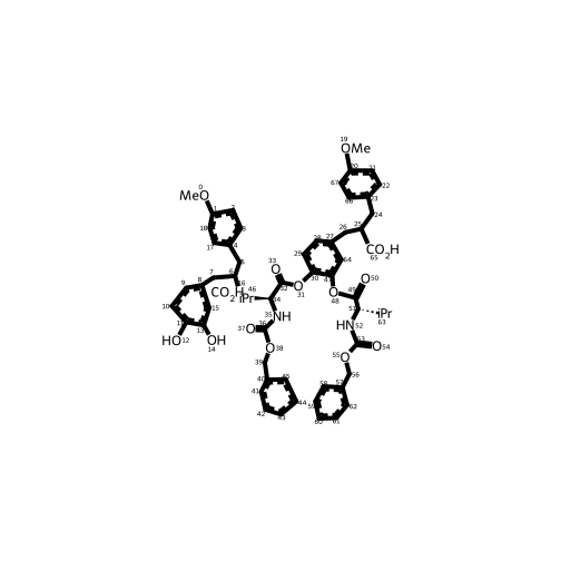 COc1ccc(CC(Cc2ccc(O)c(O)c2)C(=O)O)cc1.COc1ccc(CC(Cc2ccc(OC(=O)[C@@H](NC(=O)OCc3ccccc3)C(C)C)c(OC(=O)[C@@H](NC(=O)OCc3ccccc3)C(C)C)c2)C(=O)O)cc1